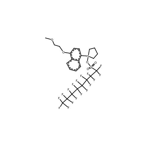 COCCOc1ccc(S2(OS(=O)(=O)C(F)(F)C(F)(F)C(F)(F)C(F)(F)C(F)(F)C(F)(F)C(F)(F)C(F)(F)F)CCCC2)c2ccccc12